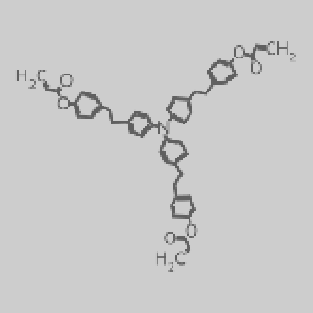 C=CC(=O)Oc1ccc(CCc2ccc(N(c3ccc(CCc4ccc(OC(=O)C=C)cc4)cc3)c3ccc(CCc4ccc(OC(=O)C=C)cc4)cc3)cc2)cc1